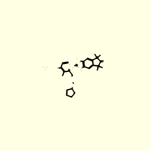 COc1cc[n+](-c2nc3cc4c(cc3[nH]2)C(C)(C)C(=O)C4(C)C)c(CSSC2CCCC2)c1C.[Cl-]